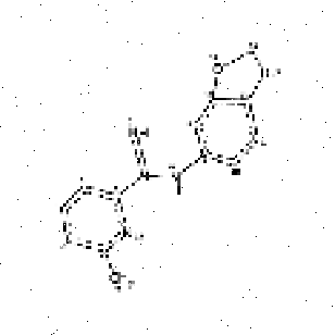 Cc1cccc(C(=N)Nc2ccc3c(c2)OCO3)n1